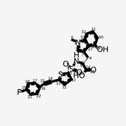 Cn1cc(C[C@@H](NS(=O)(=O)c2ccc(C#Cc3ccc(F)cc3)s2)C(=O)O)c2c(O)cccc21